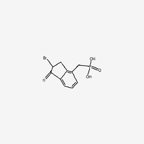 O=C1c2cccc(CP(=O)(O)O)c2CC1Br